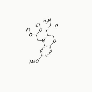 CCOC(CN1c2cc(OC)ccc2OCC1CC(N)=O)OCC